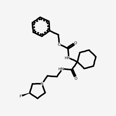 O=C(NC1(C(=O)NCCN2CC[C@@H](F)C2)CCCCC1)OCc1ccccc1